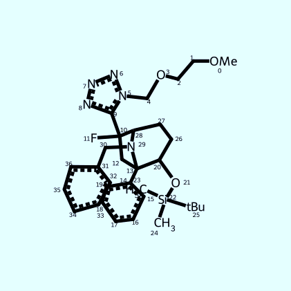 COCCOCn1nnnc1C1(F)CC2(c3ccccc3)C(O[Si](C)(C)C(C)(C)C)CCC1N2Cc1ccccc1